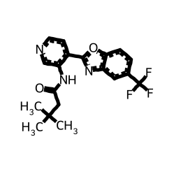 CC(C)(C)CC(=O)Nc1cnccc1-c1nc2cc(C(F)(F)F)ccc2o1